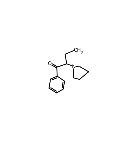 CCC(C(=O)c1ccccc1)N1CCCC1